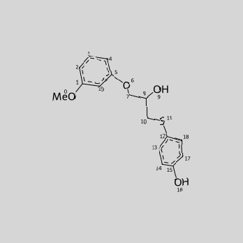 COc1cccc(OCC(O)CSc2ccc(O)cc2)c1